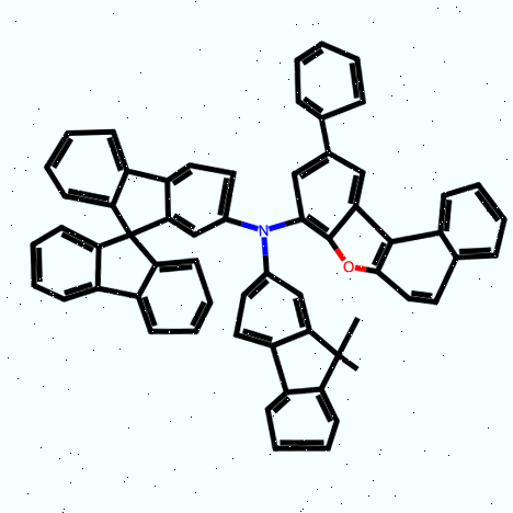 CC1(C)c2ccccc2-c2ccc(N(c3ccc4c(c3)C3(c5ccccc5-c5ccccc53)c3ccccc3-4)c3cc(-c4ccccc4)cc4c3oc3ccc5ccccc5c34)cc21